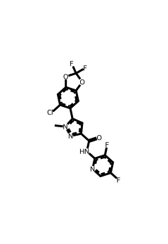 Cn1nc(C(=O)Nc2ncc(F)cc2F)cc1-c1cc2c(cc1Cl)OC(F)(F)O2